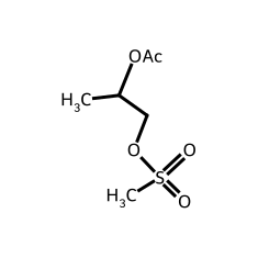 CC(=O)OC(C)COS(C)(=O)=O